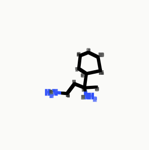 CC(N)(CCN)C1CCCCC1